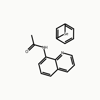 CC(=O)Nc1cccc2cccnc12.c1cc2cc(c1)[Se]2